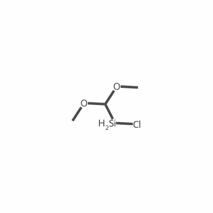 COC(OC)[SiH2]Cl